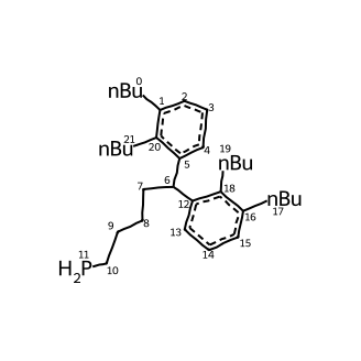 CCCCc1cccc(C(CCCCP)c2cccc(CCCC)c2CCCC)c1CCCC